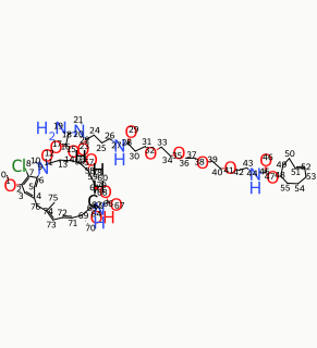 COc1cc2cc(c1Cl)N(C)C(=O)C[C@H](OC(=O)[C@H](N)N(C)C(=O)CCCNC(=O)CCOCCOCCOCCOCCNC(=O)OC1CC/C=C/CCC1)[C@@H]1O[C@H]1[C@H](C)[C@@H]1C[C@@](O)(NC(=O)O1)[C@H](C)/C=C/C=C(\C)C2